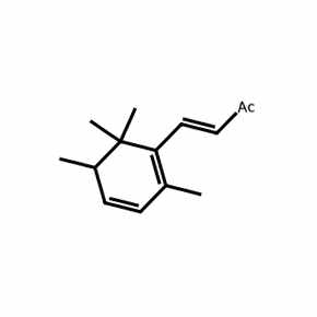 CC(=O)C=CC1=C(C)C=CC(C)C1(C)C